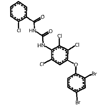 O=C(NC(=O)c1ccccc1Cl)Nc1c(Cl)cc(Oc2ccc(Br)cc2Br)c(Cl)c1Cl